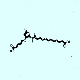 O=C(O)CCCCCCCCCCC(=O)Nc1sc(Cl)cc1OCCCCC(=O)O